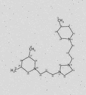 CC1CCN(CCCN2CCN(CCCN3CC(C)CC(C)C3)C2)CC1